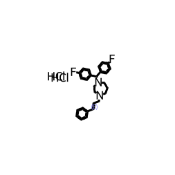 Cl.Cl.Fc1ccc(C(c2ccc(F)cc2)N2CCCN(C/C=C/c3ccccc3)CC2)cc1